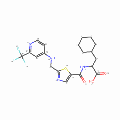 O=C(NC(CC1CCCCC1)C(=O)O)c1cnc(CNc2ccnc(C(F)(F)F)c2)s1